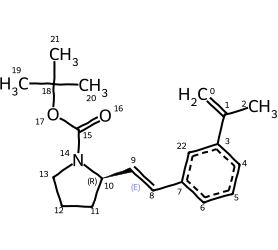 C=C(C)c1cccc(/C=C/[C@H]2CCCN2C(=O)OC(C)(C)C)c1